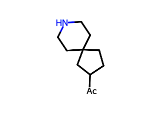 CC(=O)C1CCC2(CCNCC2)C1